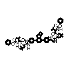 C=C(C)[C@H](NC(=O)Oc1ccccc1)C(=O)N1CC(C)(C)C[C@H]1c1ncc(-c2ccc(-c3ccc(-c4ccc5nc([C@@H]6CC(C)(C)CN6C(=O)[C@@H](NC(=O)Oc6ccccc6)C(C)C)[nH]c5c4)c4c3C3CCC3C4)cc2)[nH]1